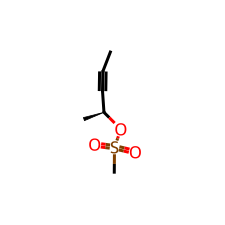 CC#C[C@H](C)OS(C)(=O)=O